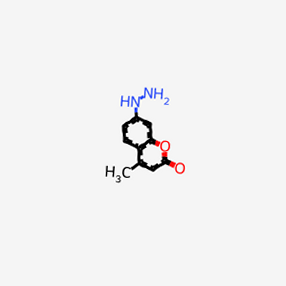 Cc1cc(=O)oc2cc(NN)ccc12